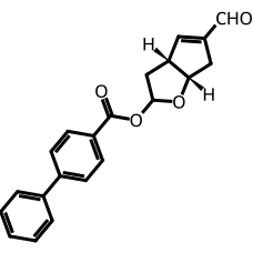 O=CC1=C[C@H]2CC(OC(=O)c3ccc(-c4ccccc4)cc3)O[C@H]2C1